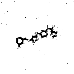 CCc1cccc(COc2cc(Nc3ccnc(NC(C)c4cnco4)n3)[nH]n2)c1